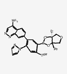 CC[C@]12COCC1(C(C)C)OB(c1cc(-c3ccc4c(N)cnnc4c3)c(-n3cccn3)cc1OC)O2